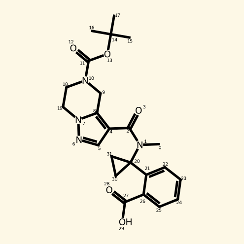 CN(C(=O)c1cnn2c1CN(C(=O)OC(C)(C)C)CC2)C1(c2ccccc2C(=O)O)CC1